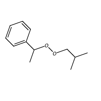 CC(C)COOC(C)c1ccccc1